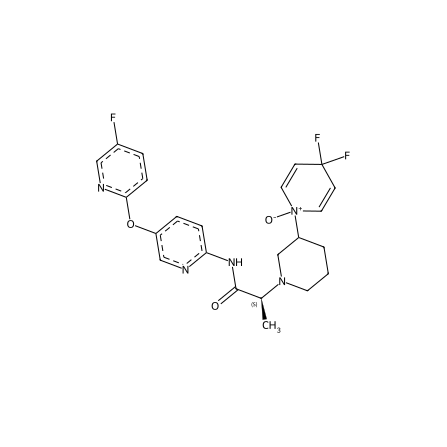 C[C@@H](C(=O)Nc1ccc(Oc2ccc(F)cn2)cn1)N1CCCC([N+]2([O-])C=CC(F)(F)C=C2)C1